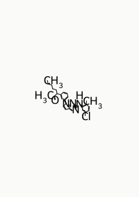 CCCCCC(C(C)=O)c1cccc(-n2ccc3cnc(Nc4cc(Cl)ccc4C)nc32)c1